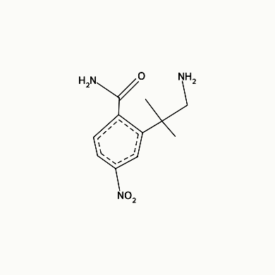 CC(C)(CN)c1cc([N+](=O)[O-])ccc1C(N)=O